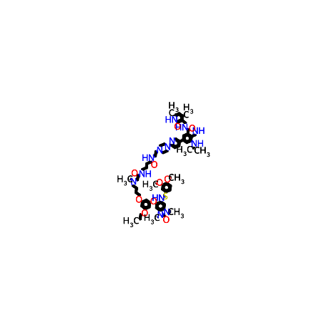 CCCOc1cc(OCCCCN(C)CC(=O)NCCCC(=O)NCCN2CCN(c3ccc(-c4cc(NC(C)C)c(C=N)c(C(=O)NCc5c(C)cc(C)[nH]c5=O)c4)cn3)CC2)cc(Oc2cc3c(cc2NSc2ccc(OC)c(OC)c2)n(C)c(=O)n3C)c1